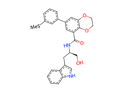 CSc1cccc(-c2cc3c(c(C(=O)N[C@@H](CO)Cc4c[nH]c5ccccc45)c2)OCCO3)c1